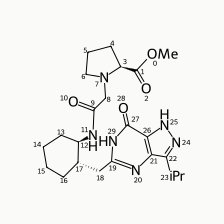 COC(=O)[C@@H]1CCCN1CC(=O)N[C@@H]1CCCC[C@H]1Cc1nc2c(C(C)C)n[nH]c2c(=O)[nH]1